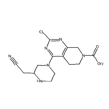 N#CCC1CN(c2nc(Cl)nc3c2CCN(C(=O)O)C3)CCN1